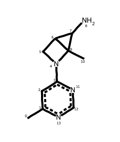 Cc1cc(N2CC3C(N)C32C)ncn1